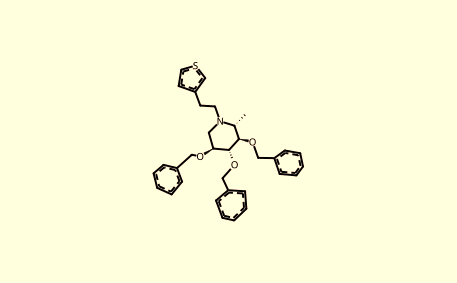 C[C@@H]1[C@@H](OCc2ccccc2)[C@H](OCc2ccccc2)[C@@H](OCc2ccccc2)CN1CCc1ccsc1